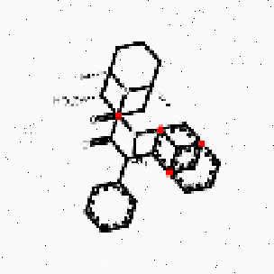 CN(Cc1ccccn1)C(=O)N1[C@H]2CCC[C@@H]1[C@@H](C(=O)O)N(C(=O)C(c1ccccc1)c1ccccc1)C2